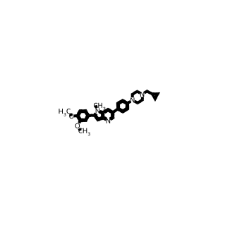 COc1ccc(-c2cc3ncc(-c4ccc(N5CCN(CC6CC6)CC5)cc4)cc3n2C)cc1OC